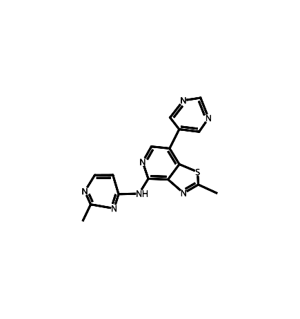 Cc1nccc(Nc2ncc(-c3cncnc3)c3sc(C)nc23)n1